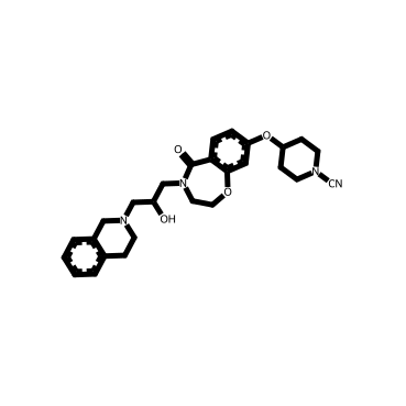 N#CN1CCC(Oc2ccc3c(c2)OCCN(CC(O)CN2CCc4ccccc4C2)C3=O)CC1